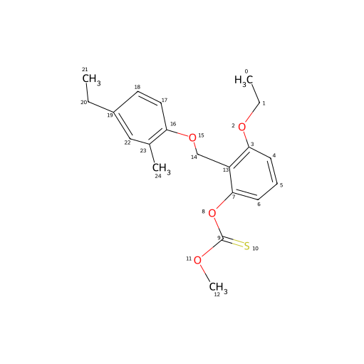 CCOc1cccc(OC(=S)OC)c1COc1ccc(CC)cc1C